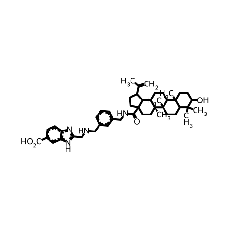 C=C(C)C1CCC2(C(=O)NCc3cccc(CNCc4nc5ccc(C(=O)O)cc5[nH]4)c3)CC[C@]3(C)C(CCC4C5(C)CCC(O)C(C)(C)C5CCC43C)C12